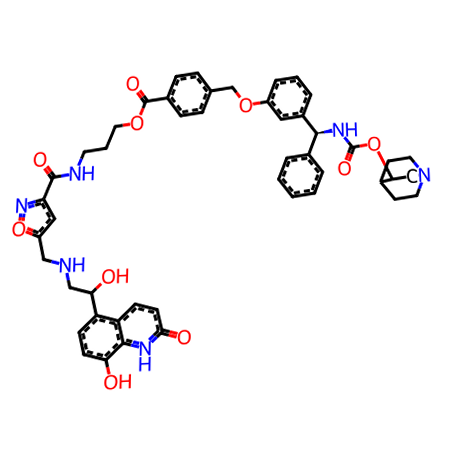 O=C(N[C@@H](c1ccccc1)c1cccc(OCc2ccc(C(=O)OCCCNC(=O)c3cc(CNCC(O)c4ccc(O)c5[nH]c(=O)ccc45)on3)cc2)c1)OC1CN2CCC1CC2